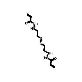 C=CC(=O)NNCCSSCCNNC(=O)C=C